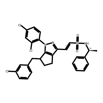 C[C@H](NS(=O)(=O)/C=C/c1nn(-c2ccc(Cl)cc2Cl)c2c1CCC2Cc1cccc(Cl)c1)c1ccccc1